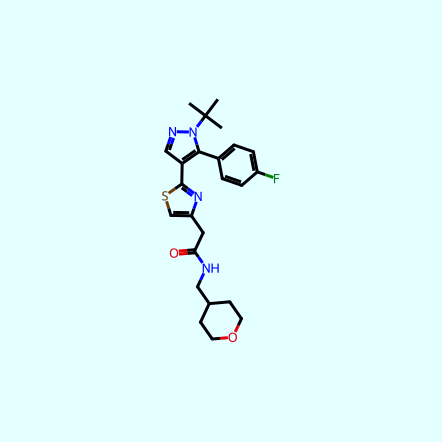 CC(C)(C)n1ncc(-c2nc(CC(=O)NCC3CCOCC3)cs2)c1-c1ccc(F)cc1